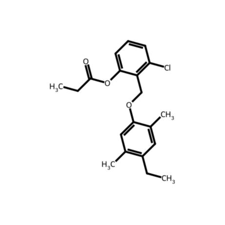 CCC(=O)Oc1cccc(Cl)c1COc1cc(C)c(CC)cc1C